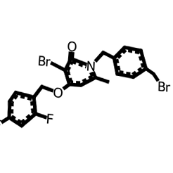 Cc1cc(OCc2ccc(F)cc2F)c(Br)c(=O)n1Cc1ccc(CBr)cc1